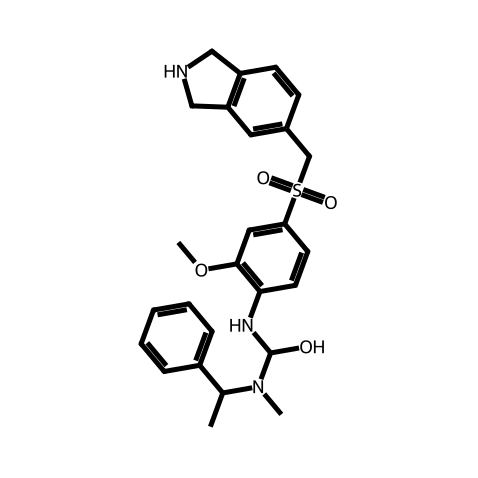 COc1cc(S(=O)(=O)Cc2ccc3c(c2)CNC3)ccc1NC(O)N(C)C(C)c1ccccc1